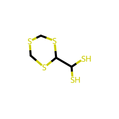 SC(S)C1SCSCS1